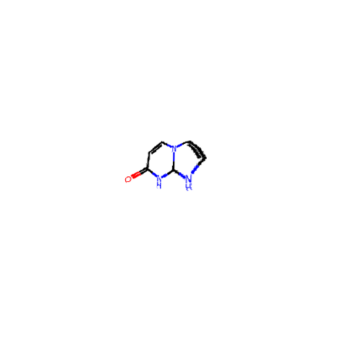 O=C1C=CN2C=CNC2N1